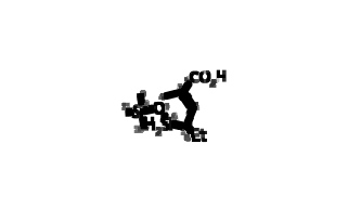 CCC(C=C(C)C(=O)O)[SiH2]O[Si](C)(C)C